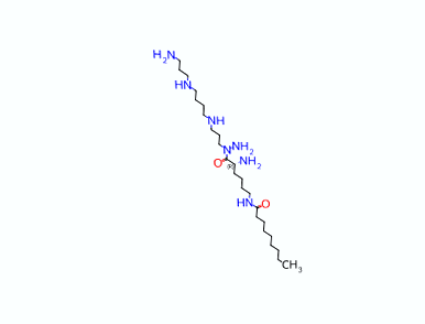 CCCCCCCCC(=O)NCCCC[C@@H](N)C(=O)N(N)CCCNCCCCNCCCN